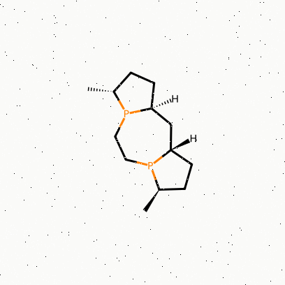 C[C@@H]1CC[C@H]2C[C@@H]3CC[C@@H](C)P3CCP21